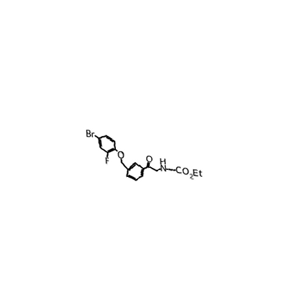 CCOC(=O)CNCC(=O)c1cccc(COc2ccc(Br)cc2F)c1